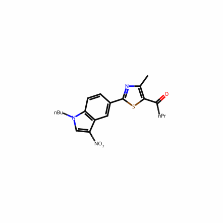 CCCCn1cc([N+](=O)[O-])c2cc(-c3nc(C)c(C(=O)CCC)s3)ccc21